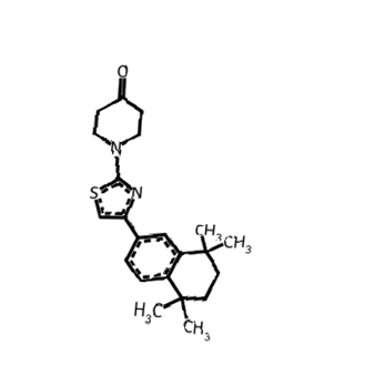 CC1(C)CCC(C)(C)c2cc(-c3csc(N4CCC(=O)CC4)n3)ccc21